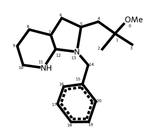 COC(C)(C)CC1CC2CCCNC2N1Cc1ccccc1